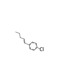 CCCC=Cc1ccc(Cl)cc1